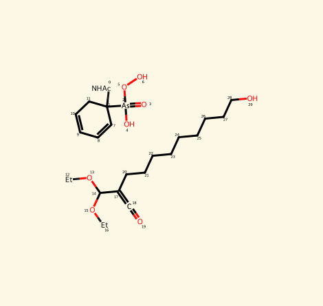 CC(=O)NC1([As](=O)(O)OO)C=CC=CC1.CCOC(OCC)C(=C=O)CCCCCCCCCO